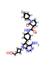 Nc1ncnc2c1c(-c1ccc(NC(=O)c3cccn(-c4ccc(F)cc4)c3=O)cc1)cn2C1CC(CO)C1